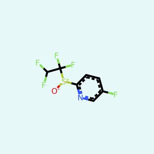 [O-][S+](c1ccc(F)cn1)C(F)(F)C(F)F